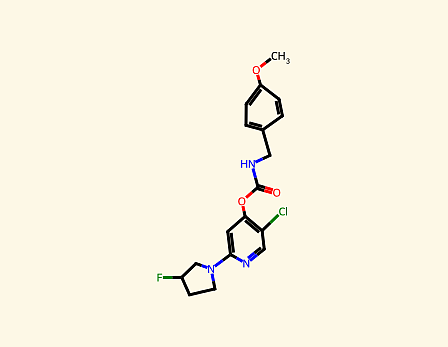 COc1ccc(CNC(=O)Oc2cc(N3CCC(F)C3)ncc2Cl)cc1